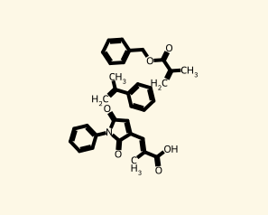 C=C(C)C(=O)OCc1ccccc1.C=C(C)c1ccccc1.CC(=CC1=CC(=O)N(c2ccccc2)C1=O)C(=O)O